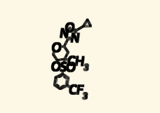 CC1(S(=O)(=O)c2cccc(C(F)(F)F)c2)CCOC(c2noc(C3CC3)n2)C1